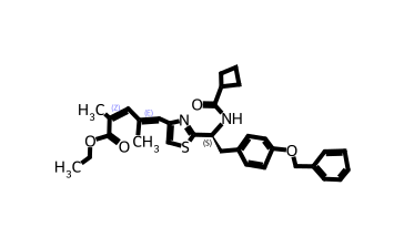 CCOC(=O)/C(C)=C\C(C)=C\c1csc([C@H](Cc2ccc(OCc3ccccc3)cc2)NC(=O)C2CCC2)n1